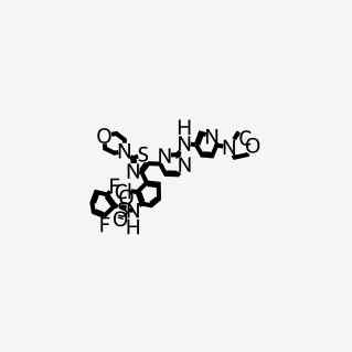 O=S(=O)(Nc1cccc(-c2nc(N3CCOCC3)sc2-c2ccnc(Nc3ccc(N4CCOCC4)nc3)n2)c1Cl)c1c(F)cccc1F